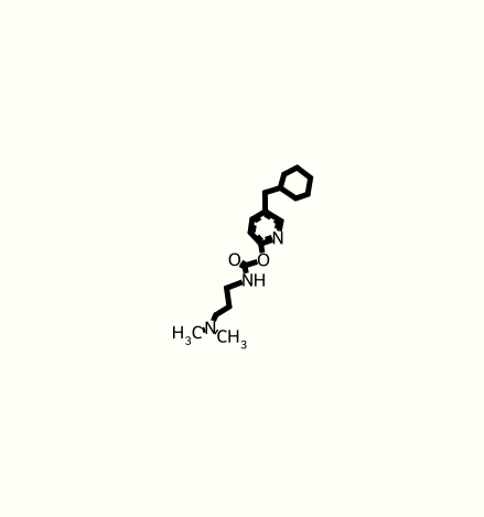 CN(C)CCCNC(=O)Oc1ccc(CC2CCCCC2)cn1